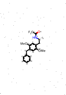 COc1cc(C[C@@H](C)NC(=O)C(F)(F)F)c(OC)cc1Cc1ccccc1